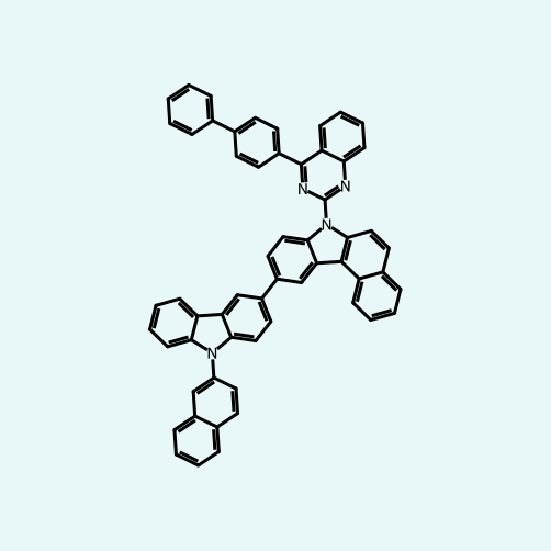 c1ccc(-c2ccc(-c3nc(-n4c5ccc(-c6ccc7c(c6)c6ccccc6n7-c6ccc7ccccc7c6)cc5c5c6ccccc6ccc54)nc4ccccc34)cc2)cc1